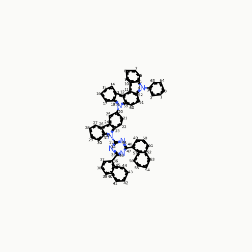 c1ccc(-n2c3ccccc3c3c4c5ccccc5n(-c5ccc6c(c5)c5ccccc5n6-c5nc(-c6cccc7ccccc67)nc(-c6cccc7ccccc67)n5)c4ccc32)cc1